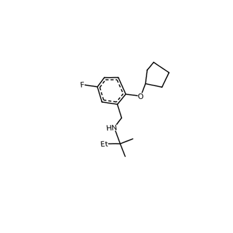 CCC(C)(C)NCc1cc(F)ccc1OC1CCCC1